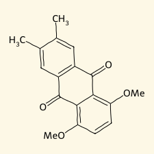 COc1ccc(OC)c2c1C(=O)c1cc(C)c(C)cc1C2=O